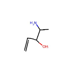 C=CC(O)C(C)N